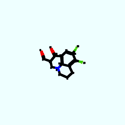 O=CC1CN2CCCc3c(F)c(F)cc(c32)C1=O